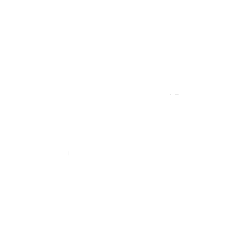 CCCC=CC=CCCC